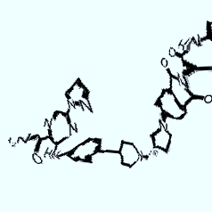 C=C1CCC(N2C(=O)c3ccc(N4CC[C@H](CN5CCC(c6ccc(Nc7nc(-n8cccn8)cnc7C(N)=O)cc6)CC5)C4)cc3C2=O)C(=O)N1